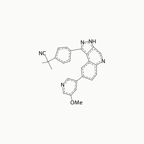 COc1cncc(-c2ccc3ncc4[nH]nc(-c5ccc(C(C)(C)C#N)cc5)c4c3c2)c1